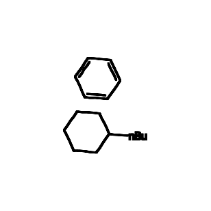 CCCCC1CCCCC1.c1ccccc1